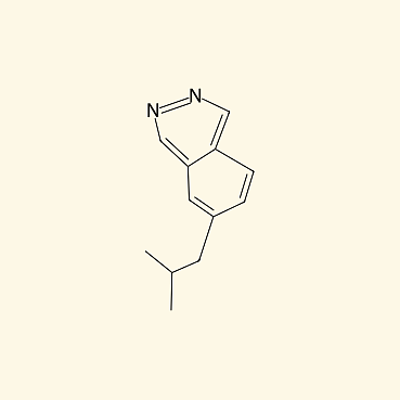 CC(C)Cc1ccc2cnncc2c1